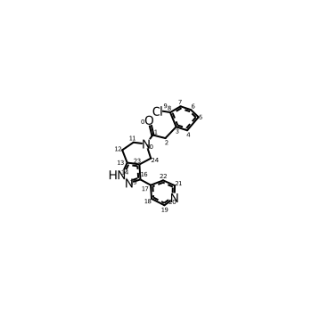 O=C(Cc1ccccc1Cl)N1CCc2[nH]nc(-c3ccncc3)c2C1